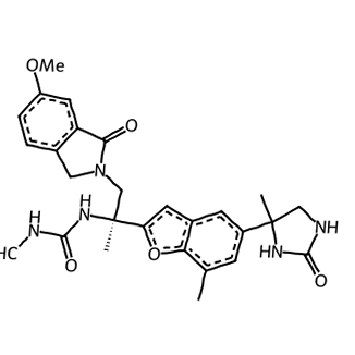 COc1ccc2c(c1)C(=O)N(C[C@](C)(NC(=O)NC=O)c1cc3cc(C4(C)CNC(=O)N4)cc(C)c3o1)C2